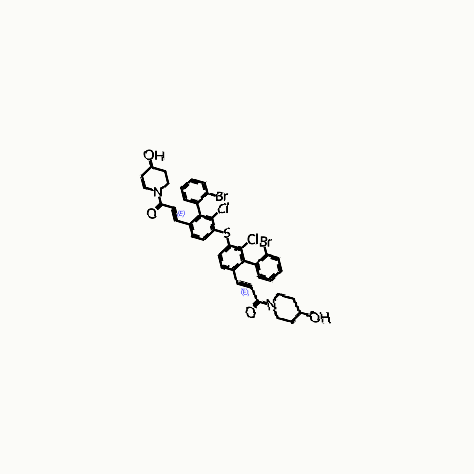 O=C(/C=C/c1ccc(Sc2ccc(/C=C/C(=O)N3CCC(O)CC3)c(-c3ccccc3Br)c2Cl)c(Cl)c1-c1ccccc1Br)N1CCC(O)CC1